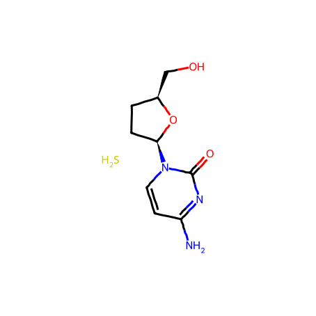 Nc1ccn([C@H]2CC[C@@H](CO)O2)c(=O)n1.S